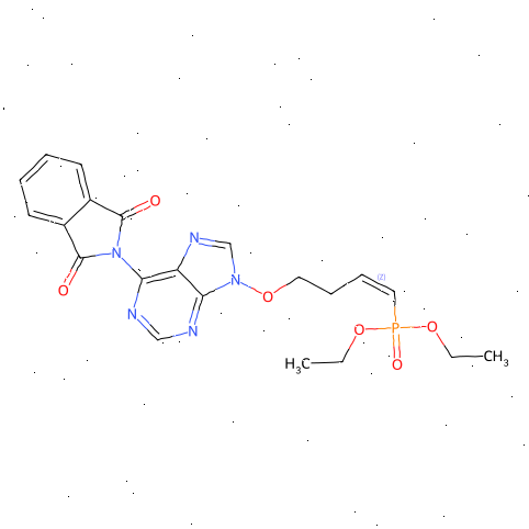 CCOP(=O)(/C=C\CCOn1cnc2c(N3C(=O)c4ccccc4C3=O)ncnc21)OCC